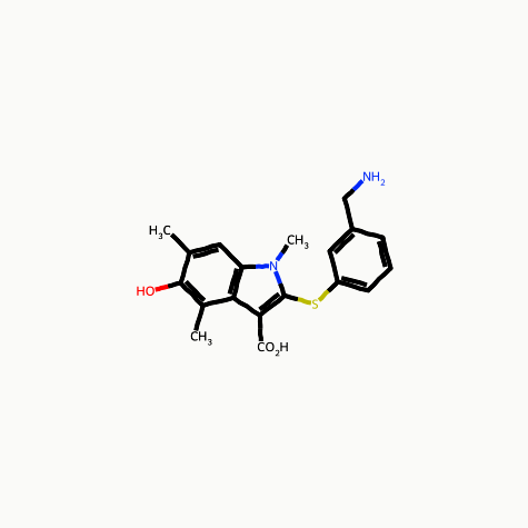 Cc1cc2c(c(C)c1O)c(C(=O)O)c(Sc1cccc(CN)c1)n2C